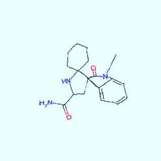 CN1C(=O)C2(CC(C(N)=O)NC23CCCCC3)c2ccccc21